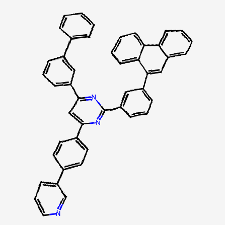 c1ccc(-c2cccc(-c3cc(-c4ccc(-c5cccnc5)cc4)nc(-c4cccc(-c5cc6ccccc6c6ccccc56)c4)n3)c2)cc1